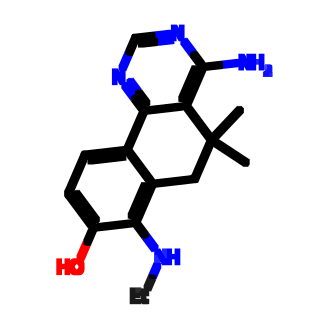 CCNc1c(O)ccc2c1CC(C)(C)c1c(N)ncnc1-2